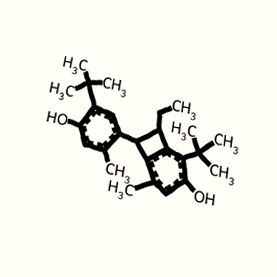 CCC1c2c(c(C)cc(O)c2C(C)(C)C)C1c1cc(C(C)(C)C)c(O)cc1C